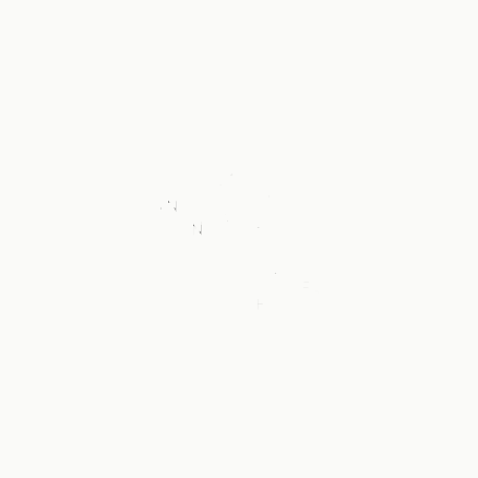 CC1(c2nncs2)CC(F)(F)C1